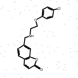 O=c1ccc2ccc(CNCCOc3ccc(Cl)cc3)cc2o1